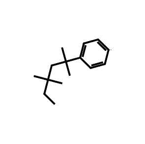 CCC(C)(C)CC(C)(C)c1cc[c]cc1